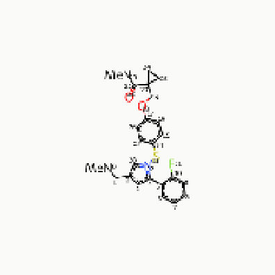 CNCc1cc(-c2ccccc2F)n(Sc2ccc(OCC3(C(=O)NC)CC3)cc2)c1